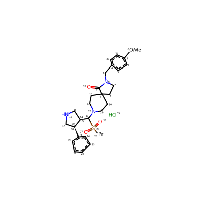 COc1ccc(CN2CCC3(CCN(C([C@@H]4CNC[C@@H]4c4ccccc4)S(=O)(=O)C(C)C)CC3)C2=O)cc1.Cl